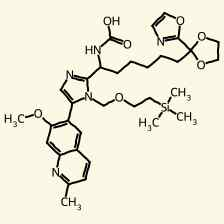 COc1cc2nc(C)ccc2cc1-c1cnc(C(CCCCCC2(c3ncco3)OCCO2)NC(=O)O)n1COCC[Si](C)(C)C